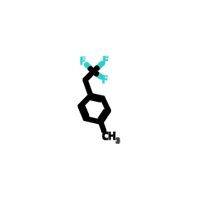 Cc1ccc(CC(F)(F)F)cc1